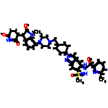 CN1C(=O)C(C2CCC(=O)NC2=O)c2cccc(N3CCN(CC4CCC(n5cc6cc(NC(=O)c7cccc(C(F)(F)F)n7)c(S(C)(=N)=O)cc6n5)CC4)CC3)c21